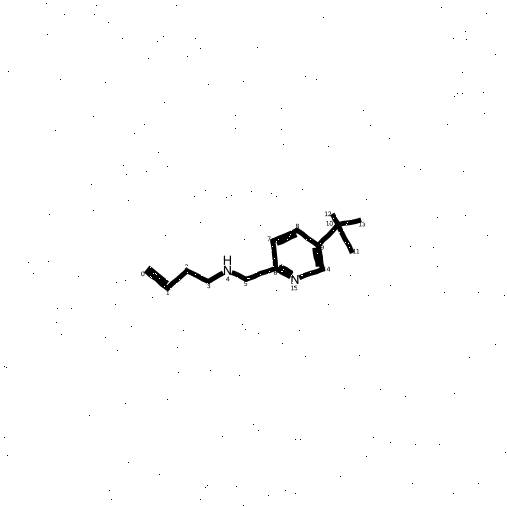 C=CCCNCc1ccc(C(C)(C)C)cn1